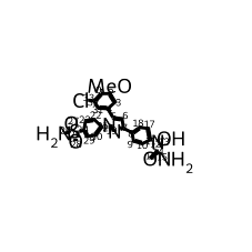 COc1ccc(-c2cc(-c3ccc(N(O)C(N)=O)cc3)nn2-c2ccc(S(N)(=O)=O)cc2)cc1Cl